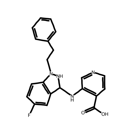 O=C(O)c1ccncc1NC1NN(CCc2ccccc2)c2ccc(F)cc21